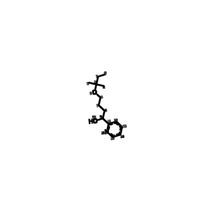 CCC(C)(C)OCCCC(O)c1ccccn1